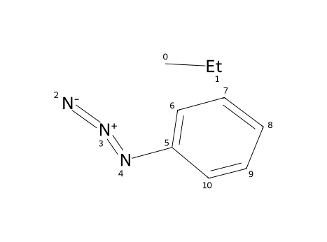 CCC.[N-]=[N+]=Nc1ccccc1